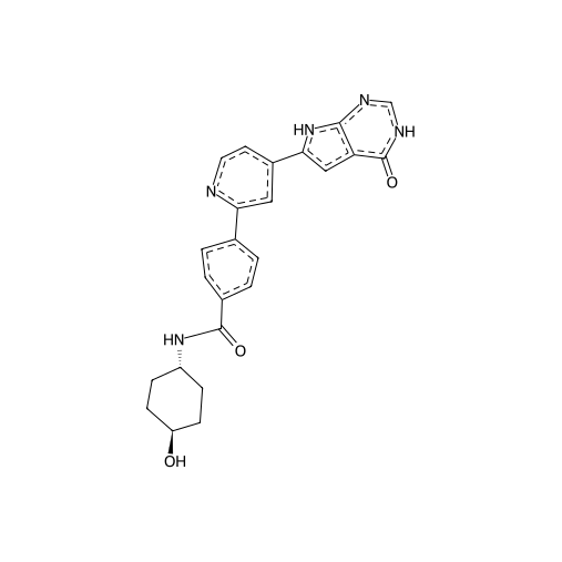 O=C(N[C@H]1CC[C@H](O)CC1)c1ccc(-c2cc(-c3cc4c(=O)[nH]cnc4[nH]3)ccn2)cc1